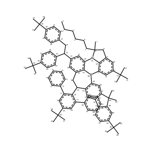 CCCCCCC1(C)Cc2cc(C(C)(C)C)cc3c2N1c1cc(C(Cc2ccc(C(C)(C)C)cc2)c2ccc(C(C)(C)C)cc2)cc2c1B3c1cc3c(cc1C(c1c(-c4ccccc4)cc(C(C)(C)C)cc1-c1ccccc1)C2)-c1ccc(C(C)(C)C)cc1C3(C)C